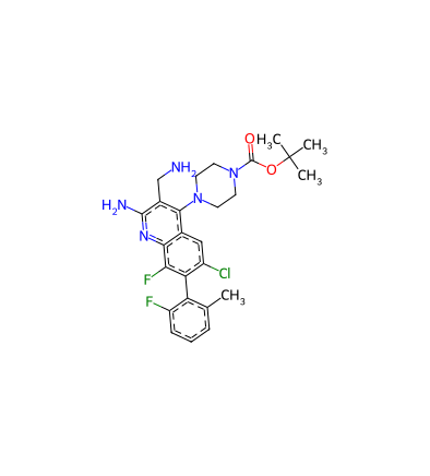 Cc1cccc(F)c1-c1c(Cl)cc2c(N3CCN(C(=O)OC(C)(C)C)CC3)c(CN)c(N)nc2c1F